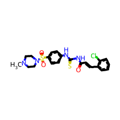 CN1CCN(S(=O)(=O)c2ccc(NC(=S)NC(=O)/C=C/c3ccccc3Cl)cc2)CC1